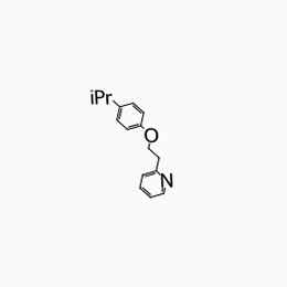 CC(C)c1ccc(OCCc2ccccn2)cc1